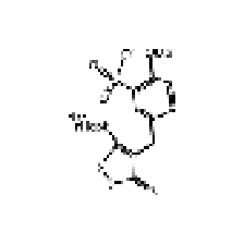 CCCCCCCc1ssc(=S)c1Cc1ccc(OC)c(S(=O)(=O)[O-])c1.[Na+]